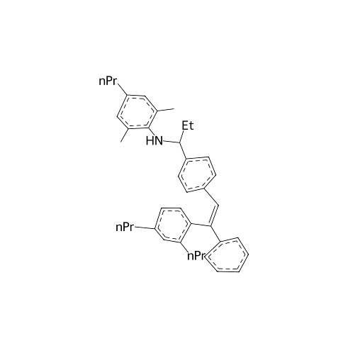 CCCc1cc(C)c(NC(CC)c2ccc(C=C(c3ccccc3)c3ccc(CCC)cc3CCC)cc2)c(C)c1